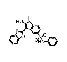 O=S(=O)(Nc1ccccc1)c1ccc2[nH]c(O)c(-c3nc4ccccc4o3)c2c1